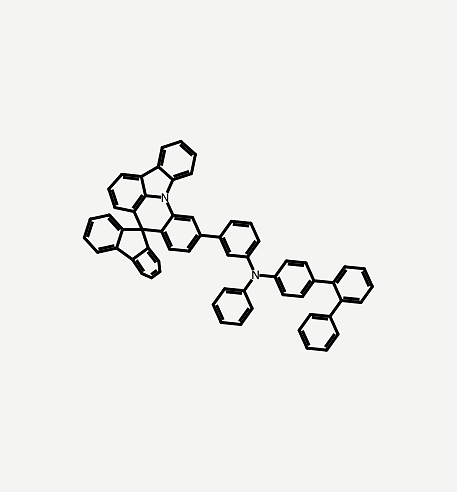 c1ccc(-c2ccccc2-c2ccc(N(c3ccccc3)c3cccc(-c4ccc5c(c4)-n4c6ccccc6c6cccc(c64)C54c5ccccc5-c5ccccc54)c3)cc2)cc1